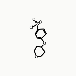 O=S(=O)(Cl)c1ccc(OC2CCOCC2)cc1